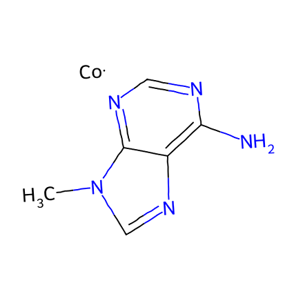 Cn1cnc2c(N)ncnc21.[Co]